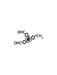 C=Cc1ccc(OP(=O)(Oc2ccc(C=O)cc2)Oc2ccc(C=O)cc2)cc1